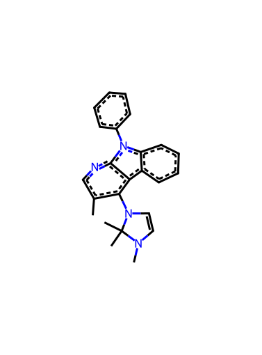 Cc1cnc2c(c1N1C=CN(C)C1(C)C)c1ccccc1n2-c1ccccc1